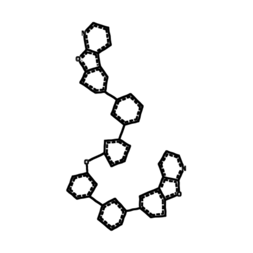 c1cc(Oc2cccc(-c3cccc(-c4ccc5oc6ncccc6c5c4)c3)c2)cc(-c2cccc(-c3ccc4oc5ncccc5c4c3)c2)c1